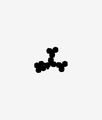 Cc1cc(-n2c3ccc(-c4ccc5c(c4)c4ccccc4n5-c4ccccc4)cc3c3cc(-c4ccc5c(c4)c4ccccc4n5-c4ccccc4)ccc32)cc(C)c1-c1ccc2c(c1)C(c1ccccc1)(c1ccccc1)c1ccccc1-2